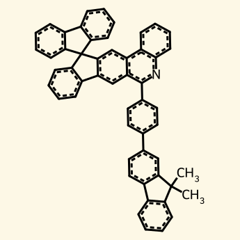 CC1(C)c2ccccc2-c2ccc(-c3ccc(-c4nc5ccccc5c5cc6c(cc45)-c4ccccc4C64c5ccccc5-c5ccccc54)cc3)cc21